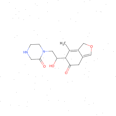 CC1=C2COC=C2CC(=O)C1C(O)CN1CCNCC1=O